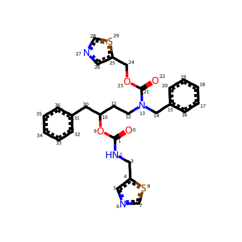 O=C(NCc1cncs1)OC(CCN(Cc1ccccc1)C(=O)OCc1cncs1)Cc1ccccc1